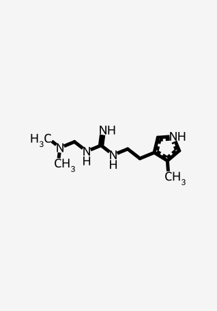 Cc1c[nH]cc1CCNC(=N)NCN(C)C